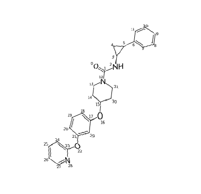 O=C(NC1CC1c1ccccc1)N1CCC(Oc2cccc(Oc3ccccn3)c2)CC1